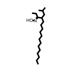 CCCCCCCCCCCCCC(CC(C)C)C(CC)=NO